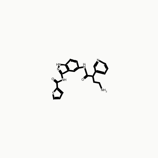 NCCC(C(=O)Nc1ccc2[nH]nc(NC(=O)c3cccs3)c2c1)c1cccnc1